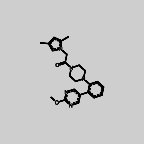 COc1ncc(-c2ccccc2N2CCN(C(=O)Cn3cc(C)cc3C)CC2)cn1